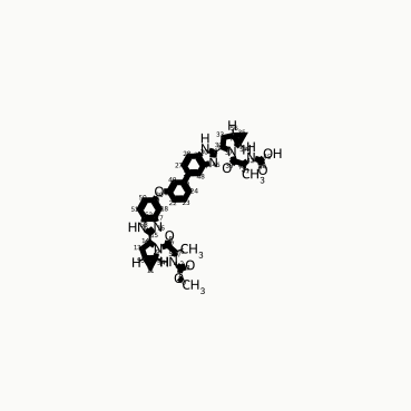 COC(=O)N[C@@H](C)C(=O)N1[C@@H]2C[C@H]2C[C@H]1c1nc2cc(Oc3cccc(-c4ccc5[nH]c([C@@H]6C[C@H]7C[C@H]7N6C(=O)[C@H](C)NC(=O)O)nc5c4)c3)ccc2[nH]1